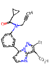 C#CCN(C(=O)C1CC1)c1cccc(-c2ccnc3c(C(=O)O)c(CC)nn23)c1